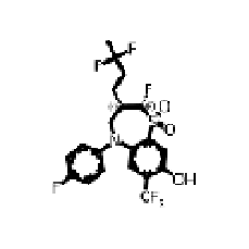 CC(F)(F)CC[C@@H]1CN(c2ccc(F)cc2)c2cc(C(F)(F)F)c(O)cc2S(=O)(=O)[C@H]1F